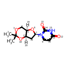 CC1(C)OC[C@H]2O[C@@H](n3ccc(=O)[nH]c3=O)C[C@H]2O1